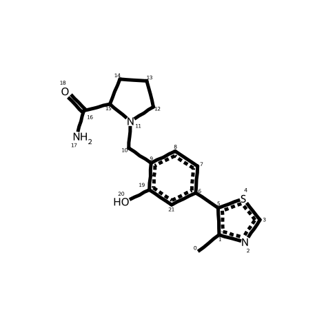 Cc1ncsc1-c1ccc(CN2CCCC2C(N)=O)c(O)c1